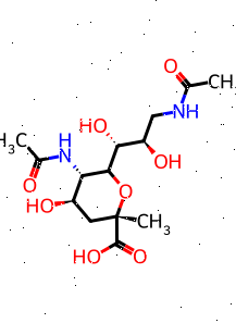 CC(=O)NC[C@@H](O)[C@@H](O)C1O[C@](C)(C(=O)O)C[C@@H](O)[C@@H]1NC(C)=O